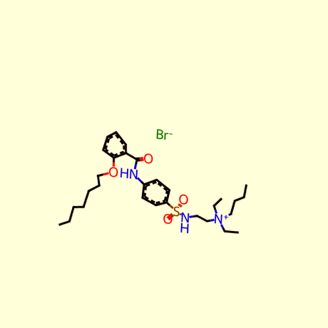 CCCCCCCOc1ccccc1C(=O)Nc1ccc(S(=O)(=O)NCC[N+](CC)(CC)CCCC)cc1.[Br-]